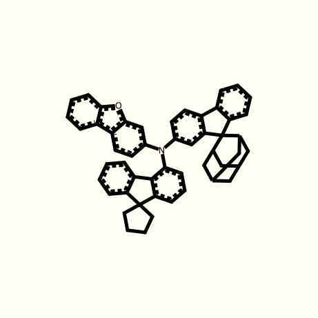 c1ccc2c(c1)-c1c(N(c3ccc4c(c3)C3(c5ccccc5-4)C4CC5CC(C4)CC3C5)c3ccc4c(c3)oc3ccccc34)cccc1C21CCCC1